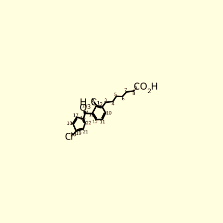 Cc1c(CCCCCCC(=O)O)cccc1C(=O)c1ccc(Cl)cc1